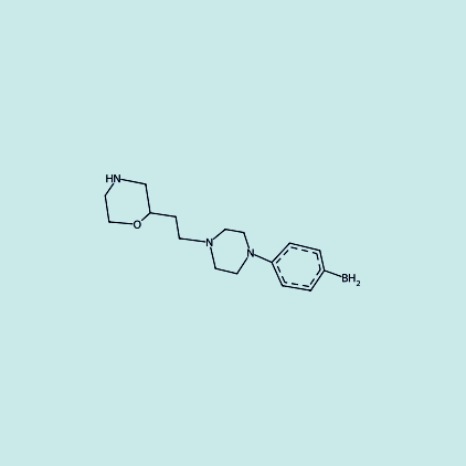 Bc1ccc(N2CCN(CCC3CNCCO3)CC2)cc1